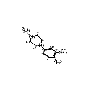 [2H]c1ccc(N2CCN([2H])CC2)cc1C(F)(F)F